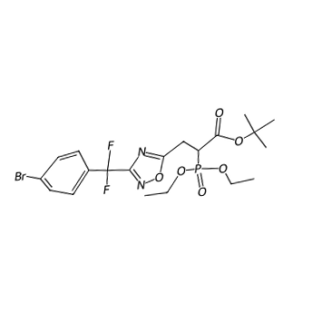 CCOP(=O)(OCC)C(Cc1nc(C(F)(F)c2ccc(Br)cc2)no1)C(=O)OC(C)(C)C